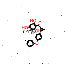 CCCC1(CCC)C(O)=CC(O)=C(C(=O)C2CC2c2ccc(Oc3ccccc3)cc2)C1O